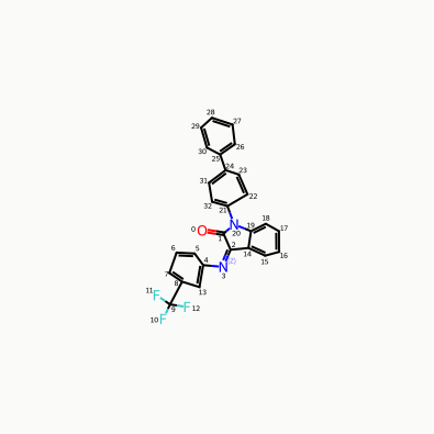 O=C1/C(=N\c2cccc(C(F)(F)F)c2)c2ccccc2N1c1ccc(-c2ccccc2)cc1